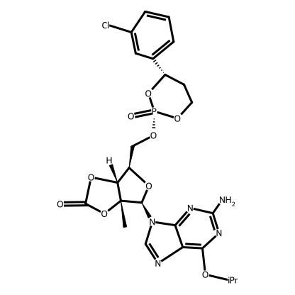 CC(C)Oc1nc(N)nc2c1ncn2[C@@H]1O[C@H](CO[P@@]2(=O)OCC[C@@H](c3cccc(Cl)c3)O2)[C@H]2OC(=O)O[C@]21C